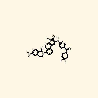 CN(C)c1ccc2c(c1)CCN(c1cccc(-c3cc(Nc4ccc(C(=O)N5CCC(F)(F)CC5)cn4)c(=O)n(C)c3)c1CO)C2=O